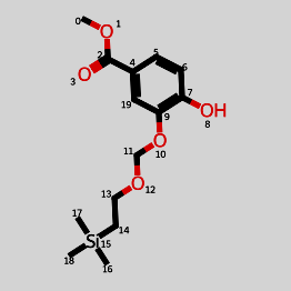 COC(=O)c1ccc(O)c(OCOCC[Si](C)(C)C)c1